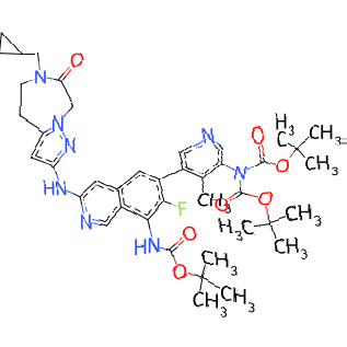 Cc1c(-c2cc3cc(Nc4cc5n(n4)CC(=O)N(CC4CC4)CC5)ncc3c(NC(=O)OC(C)(C)C)c2F)cncc1N(C(=O)OC(C)(C)C)C(=O)OC(C)(C)C